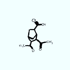 CC(=O)C1C2CC(C(=O)O)C(C2)C1C(C)=O